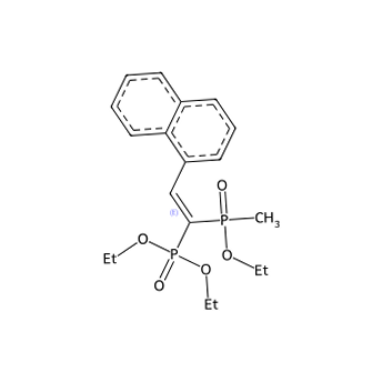 CCOP(C)(=O)/C(=C\c1cccc2ccccc12)P(=O)(OCC)OCC